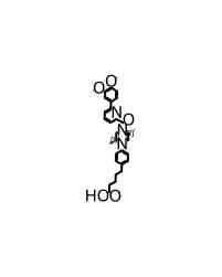 COc1ccc(-c2cccc(C(=O)N3C[C@H](C)N(c4ccc(CCCCC(=O)O)cc4)C[C@H]3C)n2)cc1OC